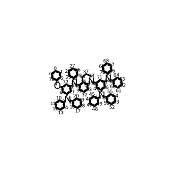 c1ccc(Oc2cc(N(c3ccccc3)c3ccccc3)cc(N(c3ccccc3)c3cccc4c3CCCN4c3cc(N(c4ccccc4)c4ccccc4)cc(N(c4ccccc4)c4ccccc4)c3)c2)cc1